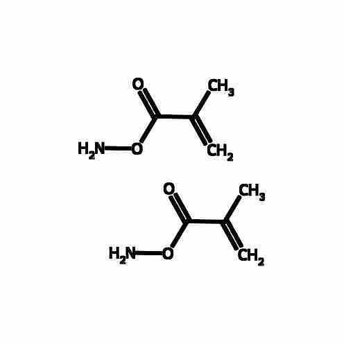 C=C(C)C(=O)ON.C=C(C)C(=O)ON